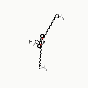 CCCCCCCCCCCCCCCCN1C=CN(CCCCCCCCCCCCCC)C1(Cc1ccccc1)C(CC)c1ccccc1